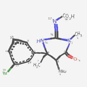 CN1C(=O)C(C(C)(C)C)C(C)(c2cccc(Br)c2)NC1=NC(=O)O